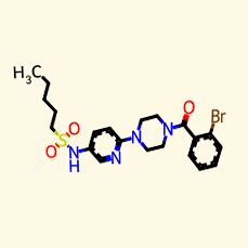 CCCCCS(=O)(=O)Nc1ccc(N2CCN(C(=O)c3ccccc3Br)CC2)nc1